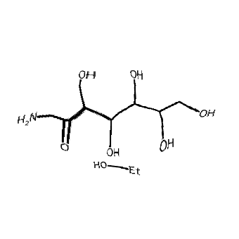 CCO.NC(=O)C(O)C(O)C(O)C(O)CO